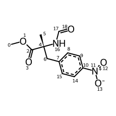 COC(=O)[C@@](C)(Cc1ccc([N+](=O)[O-])cc1)NC=O